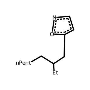 CCCCCCC(CC)Cc1ccno1